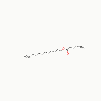 CCCCCCCCCCCCCCCCCCCCOC(=O)CCCCCCCCCCCCC